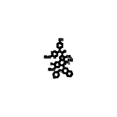 COc1ncc(N(C(=O)c2cc(-c3cc(F)c(OC)cc3C(=O)N3Cc4ccccc4C[C@H]3CN3CCOCC3)n(C)c2C)c2ccc(O)cc2)cn1.Cl